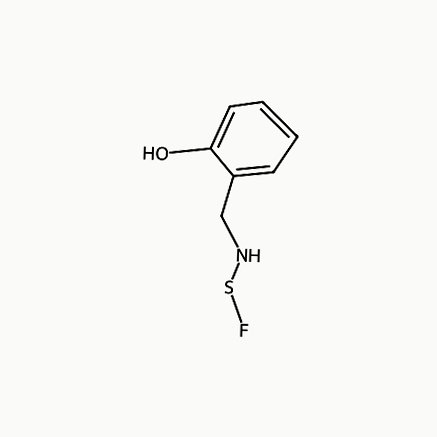 Oc1ccccc1CNSF